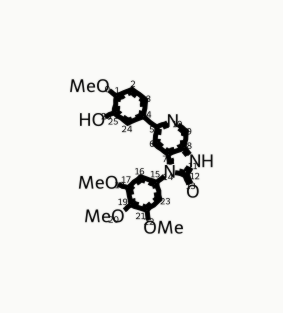 COc1ccc(-c2cc3c(cn2)[nH]c(=O)n3-c2cc(OC)c(OC)c(OC)c2)cc1O